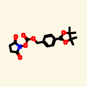 CC1(C)OB(c2ccc(COC(=O)ON3C(=O)CCC3=O)cc2)OC1(C)C